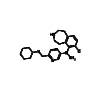 CN(c1ccc(CSC2CCCCC2)nc1)c1c(Cl)ccc2c1CCNCC2